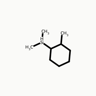 CC1CCCCC1[SiH](C)C